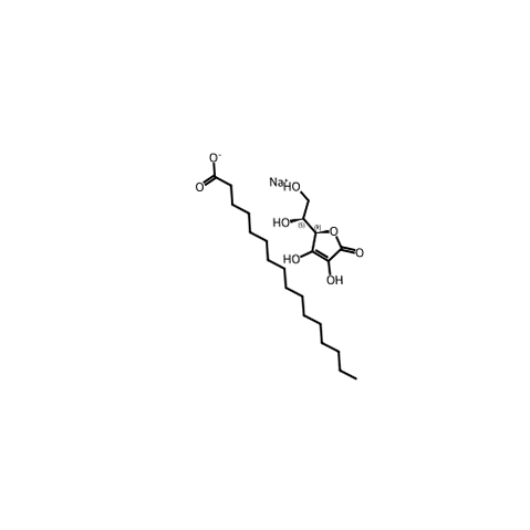 CCCCCCCCCCCCCCCC(=O)[O-].O=C1O[C@H]([C@@H](O)CO)C(O)=C1O.[Na+]